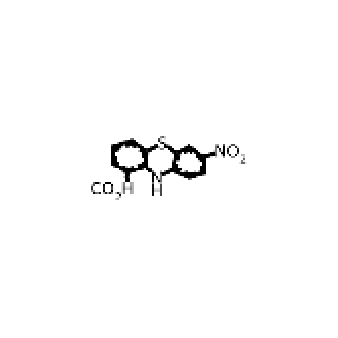 O=C(O)c1cccc2c1Nc1ccc([N+](=O)[O-])cc1S2